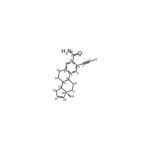 CC#Cc1cc2c(cc1C(N)=O)CCC1C2CC[C@]2(C)C=CCC12